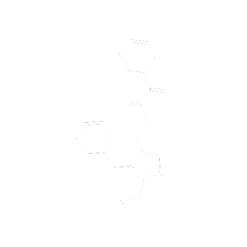 NCc1ncc(CCNC(=O)c2ccccc2)n1Cc1ccccc1